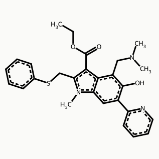 CCOC(=O)c1c(CSc2ccccc2)n(C)c2cc(-c3ccccn3)c(O)c(CN(C)C)c12